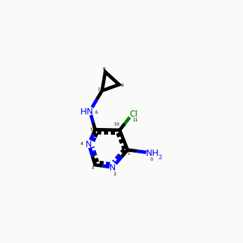 Nc1ncnc(NC2CC2)c1Cl